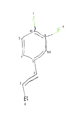 CC/C=C/c1ccc(F)c(F)c1